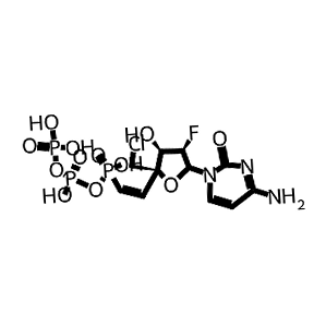 Nc1ccn(C2O[C@@](/C=C\P(=O)(O)OP(=O)(O)OP(=O)(O)O)(CCl)[C@@H](O)[C@H]2F)c(=O)n1